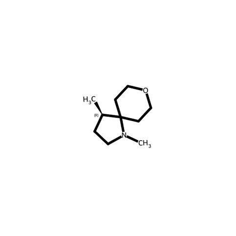 C[C@@H]1CCN(C)C12CCOCC2